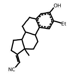 CCc1cc2c(cc1O)CCC1C2CCC2(C)C(=CC#N)CCC12